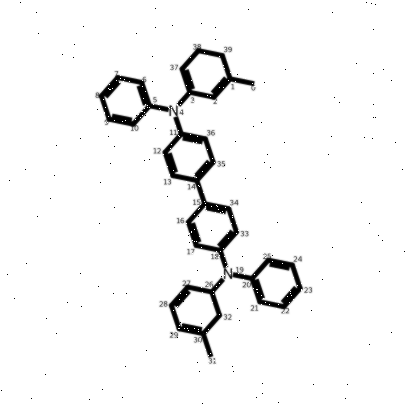 CC1=CC(N(c2ccccc2)c2ccc(-c3ccc(N(c4ccccc4)C4C=CC=C(C)C4)cc3)cc2)=CCC1